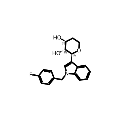 O[C@@H]1[C@@H](O)CCO[C@H]1c1cn(Cc2ccc(F)cc2)c2ccccc12